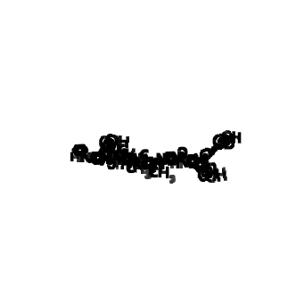 Cc1cc(N=Nc2cc(C)c(N=Nc3c(S(=O)(=O)O)cc4cc(Nc5ccccc5)ccc4c3O)cc2C)c(C)cc1N=Nc1ccc(C(=O)Nc2ccc3c(OCCCS(=O)(=O)O)cc(S(=O)(=O)O)cc3c2)cc1